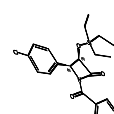 CC[Si](CC)(CC)O[C@H]1C(=O)N(C(=O)c2ccccc2)[C@H]1c1ccc(Cl)cc1